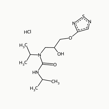 CC(C)NC(=O)N(CC(O)COc1cnsn1)C(C)C.Cl